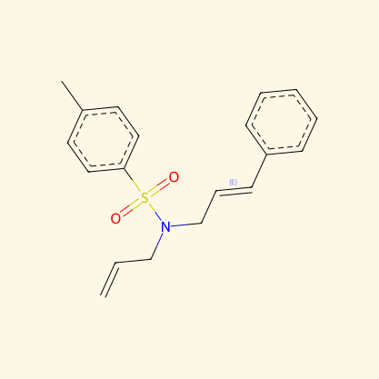 C=CCN(C/C=C/c1ccccc1)S(=O)(=O)c1ccc(C)cc1